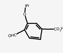 CC(C)Oc1cc(C(=O)O)ccc1C=O